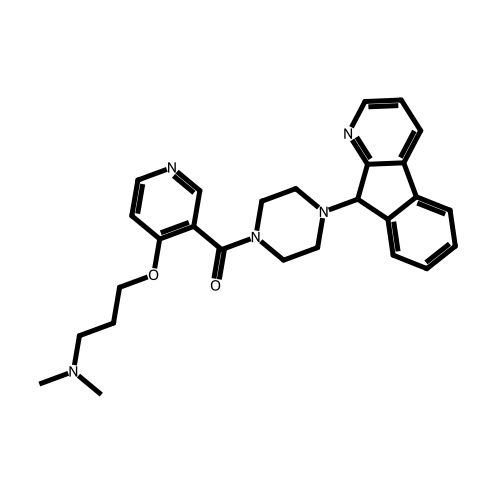 CN(C)CCCOc1ccncc1C(=O)N1CCN(C2c3ccccc3-c3cccnc32)CC1